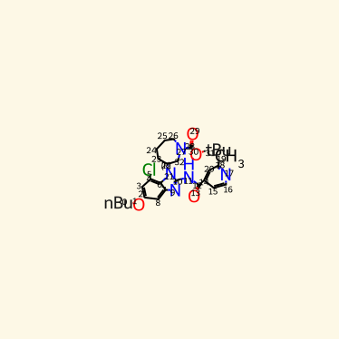 CCCCOc1cc(Cl)c2c(c1)nc(NC(=O)c1ccnc(C)c1)n2[C@@H]1CCCCN(C(=O)OC(C)(C)C)C1